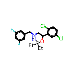 CC[Si](CC)(CC)OC(CNCc1cc(F)cc(F)c1)c1cc(Cl)ccc1Cl